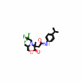 CC(C)c1ccc(NC(=O)CC2(C)C(=O)OCC(C)N2CC(F)(F)F)cc1